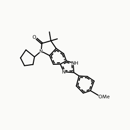 COc1ccc(-c2nc3cc4c(cc3[nH]2)C(C)(C)C(=O)N4C2CCCC2)cc1